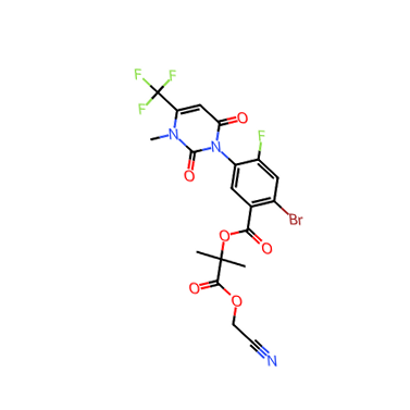 Cn1c(C(F)(F)F)cc(=O)n(-c2cc(C(=O)OC(C)(C)C(=O)OCC#N)c(Br)cc2F)c1=O